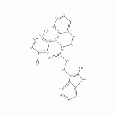 Cc1[nH]c2ccccc2c1CCC(=O)N1CCc2ccccc2C1c1cc(Cl)ccc1O